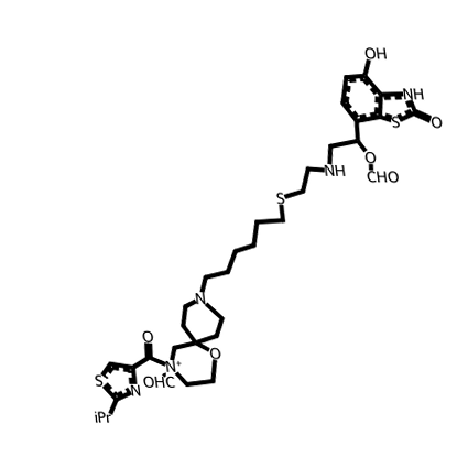 CC(C)c1nc(C(=O)[N@+]2(C=O)CCOC3(CCN(CCCCCCSCCNCC(OC=O)c4ccc(O)c5[nH]c(=O)sc45)CC3)C2)cs1